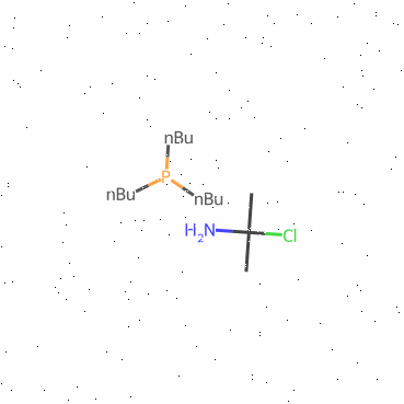 CC(C)(N)Cl.CCCCP(CCCC)CCCC